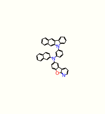 c1cc(N(c2ccc3ccccc3c2)c2ccc3oc4ncccc4c3c2)cc(-n2c3ccccc3c3cc4ccccc4cc32)c1